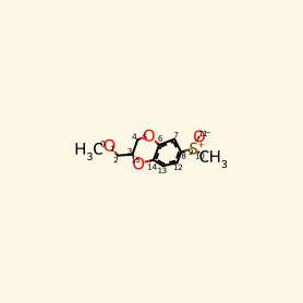 COCC1COc2cc([S+](C)[O-])ccc2O1